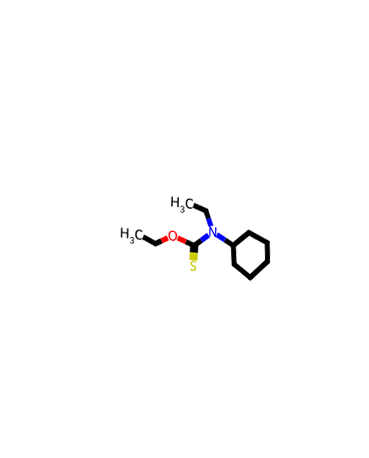 CCOC(=S)N(CC)C1CCCCC1